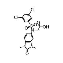 Cn1c(=O)n(C)c2cc(N(CC(=O)O)S(=O)(=O)c3cc(Cl)cc(Cl)c3)ccc21